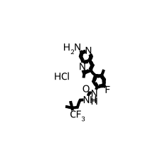 Cc1cc(F)c(NC(=O)NCCC(C)(C)C(F)(F)F)cc1-c1cc2cnc(N)cc2nc1C.Cl